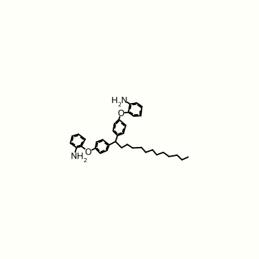 CCCCCCCCCCCCC(c1ccc(Oc2ccccc2N)cc1)c1ccc(Oc2ccccc2N)cc1